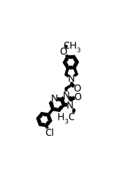 CCn1c(=O)n(CC(=O)N2Cc3ccc(OC)cc3C2)c2ncc(-c3cccc(Cl)c3)cc21